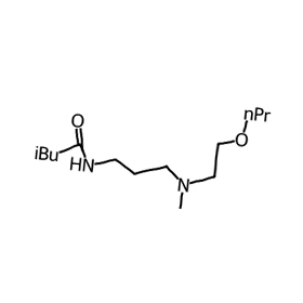 CCCOCCN(C)CCCNC(=O)C(C)CC